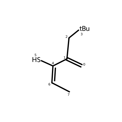 C=C(CC(C)(C)C)/C(S)=C\C